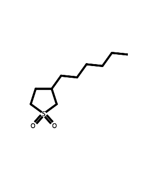 CCCCCCC1CCS(=O)(=O)C1